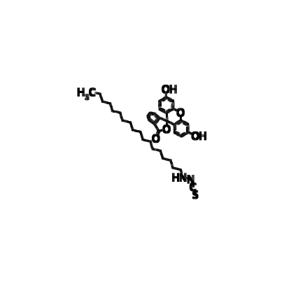 CCCCCCCCCCCCCCCCCCNN=C=S.O=C1OC2(c3ccc(O)cc3Oc3cc(O)ccc32)c2ccccc21